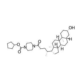 C[C@H](CCC(=O)N1CCN(C(=O)OC2CCCC2)CC1)[C@H]1CC[C@H]2[C@@H]3CC[C@H]4C[C@@H](O)CC[C@]4(C)[C@H]3CC[C@]12C